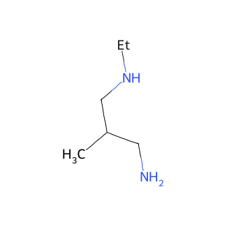 CCNCC(C)CN